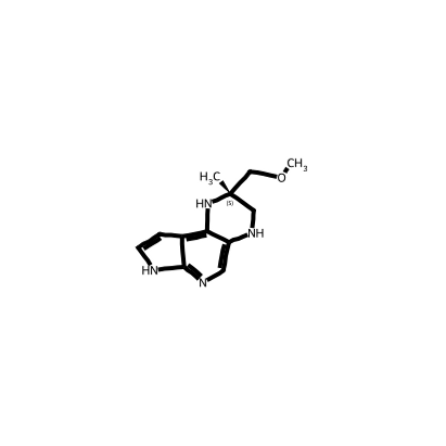 COC[C@]1(C)CNc2cnc3[nH]ccc3c2N1